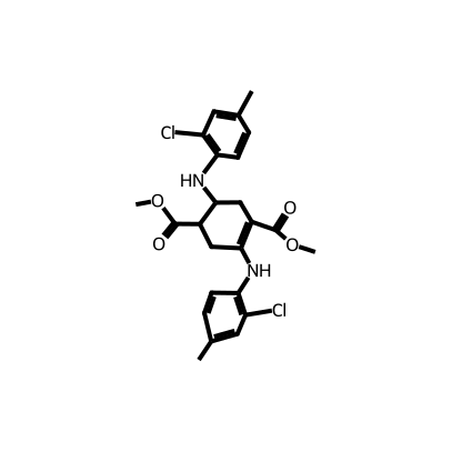 COC(=O)C1=C(Nc2ccc(C)cc2Cl)CC(C(=O)OC)C(Nc2ccc(C)cc2Cl)C1